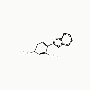 COC1=CC(OC)CC=C1c1cc2ccccc2o1